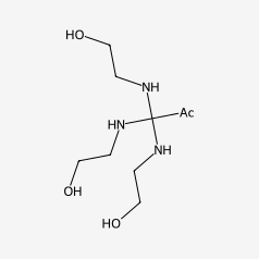 CC(=O)C(NCCO)(NCCO)NCCO